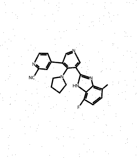 Cc1ccc(F)c2[nH]c(-c3cncc(-c4ccnc(C#N)c4)c3N3CCCC3)nc12